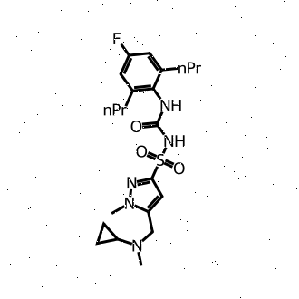 CCCc1cc(F)cc(CCC)c1NC(=O)NS(=O)(=O)c1cc(CN(C)C2CC2)n(C)n1